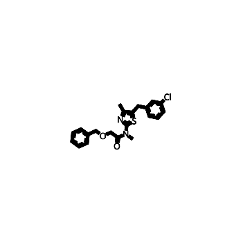 Cc1nc(N(C)C(=O)COCc2ccccc2)sc1Cc1cccc(Cl)c1